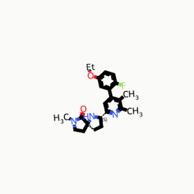 CCOc1ccc(F)c(-c2cc([C@@H]3CC[C@@]4(CCN(C)C4=O)N3)nc(C)c2C)c1